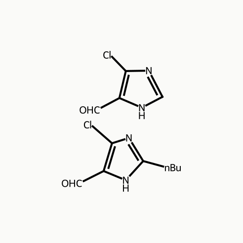 CCCCc1nc(Cl)c(C=O)[nH]1.O=Cc1[nH]cnc1Cl